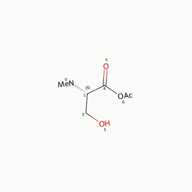 CN[C@@H](CO)C(=O)OC(C)=O